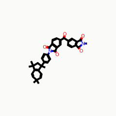 CN1C(=O)c2ccc(C(=O)c3ccc4c(c3)C(=O)N(c3ccc(C5(C)CC(C)(C)C6=C5C=CC(C)(C)C=C6)cc3)C4=O)cc2C1=O